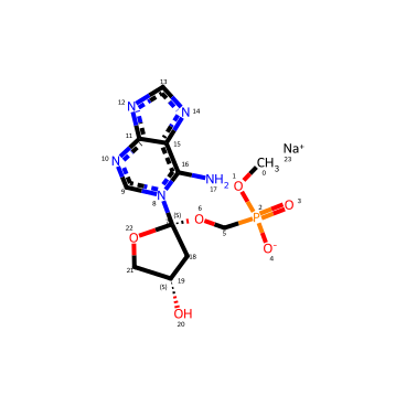 COP(=O)([O-])CO[C@]1(n2cnc3ncnc-3c2N)C[C@H](O)CO1.[Na+]